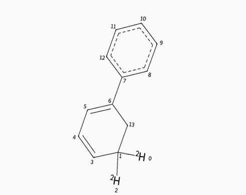 [2H]C1([2H])C=CC=C(c2ccccc2)C1